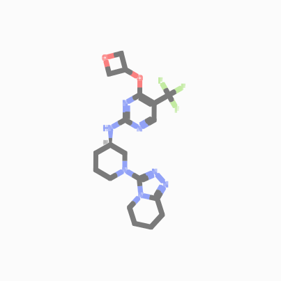 FC(F)(F)c1cnc(N[C@@H]2CCCN(c3nnc4n3CCCC4)C2)nc1OC1COC1